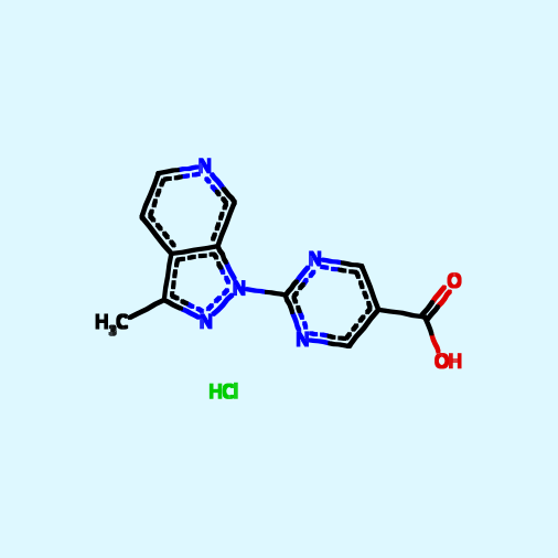 Cc1nn(-c2ncc(C(=O)O)cn2)c2cnccc12.Cl